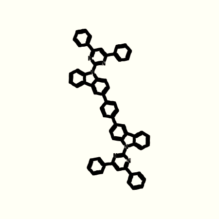 c1ccc(-c2cc(-c3ccccc3)nc(-n3c4ccccc4c4cc(-c5ccc(-c6ccc7c(c6)c6ccccc6n7-c6nc(-c7ccccc7)cc(-c7ccccc7)n6)cc5)ccc43)n2)cc1